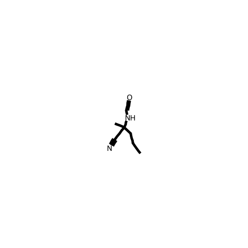 CCCC(C)(C#N)NC=O